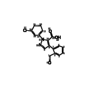 O=Cc1ccccc1-c1cnn(-c2cccc(Cl)c2)c1C(=O)O